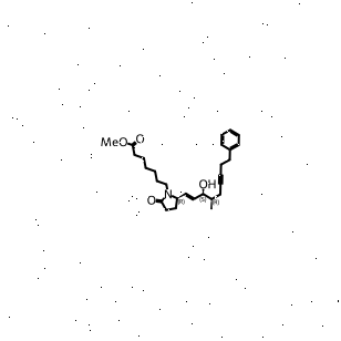 COC(=O)CCCCCCN1C(=O)CC[C@@H]1C=C[C@@H](O)[C@H](C)CC#CCCc1ccccc1